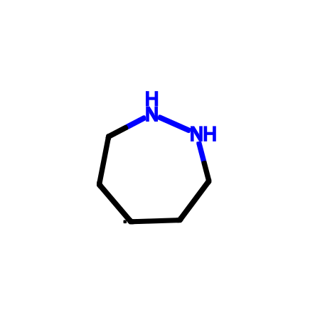 [CH]1CCNNCC1